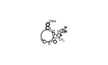 C=CC1C[C@]1(NC(=O)[C@@H]1C[C@@H]2CN1C(=O)[C@H](C1CCCC1)NC(=O)N1CC[C@@H](C1)OCCCCCc1cc3ccc(OC)cc3nc1O2)C(=O)NS(=O)(=O)C1CC1